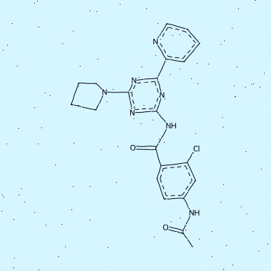 CC(=O)Nc1ccc(C(=O)Nc2nc(-c3ccccn3)nc(N3CCCC3)n2)c(Cl)c1